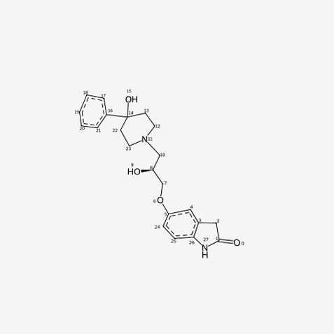 O=C1Cc2cc(OC[C@@H](O)CN3CCC(O)(c4ccccc4)CC3)ccc2N1